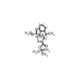 C=C(C)c1ccccc1C1(C(=O)OC)CCN(C(=O)OC(C)(C)C)CC1